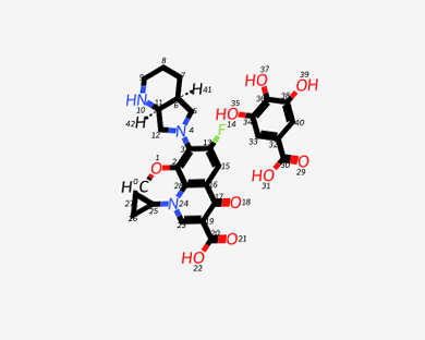 COc1c(N2C[C@@H]3CCCN[C@@H]3C2)c(F)cc2c(=O)c(C(=O)O)cn(C3CC3)c12.O=C(O)c1cc(O)c(O)c(O)c1